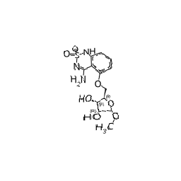 COC1O[C@H](COc2cccc3c2C(N)=NS(=O)(=O)N3)[C@H](O)[C@H]1O